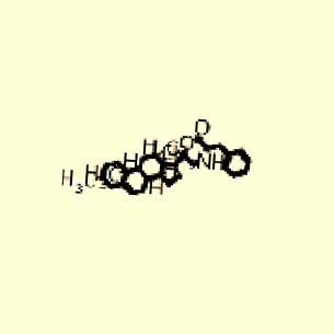 C[C@H]1CC[C@@]2(C)C(=CC[C@H]3[C@@H]4CC[C@H]([C@]5(C)CNC(Cc6ccccc6)C(=O)O5)[C@@]4(C)CC[C@@H]32)C1